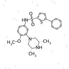 COc1ccc(NS(=O)(=O)c2ccc(-c3ccccc3)s2)cc1N1C[C@@H](C)N[C@@H](C)C1